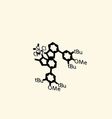 COc1c(C(C)(C)C)cc(-c2cccc3c2C=C(C)[CH]3[Zr]([Cl])([Cl])([CH]2C(C)=Cc3c(-c4cc(C(C)(C)C)c(OC)c(C(C)(C)C)c4)cccc32)[SiH](C)C)cc1C(C)(C)C